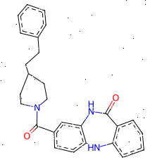 O=C1Nc2cc(C(=O)N3CCC(CCc4ccccc4)CC3)ccc2Nc2ccccc21